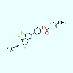 CC1=CCC(C(=O)Oc2ccc(-c3cc(F)c4c(F)c(C#CC(F)(F)F)c(F)cc4c3)cc2)CC1